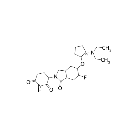 CCN(CC)[C@H]1CCCC1OC1CC2CN(C3CCC(=O)NC3=O)C(=O)C2CC1F